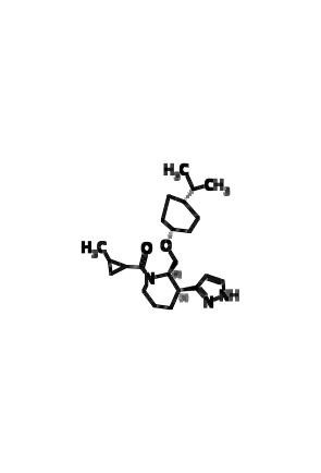 CC1CC1C(=O)N1CCC[C@H](c2cc[nH]n2)[C@@H]1CO[C@H]1CC[C@@H](C(C)C)CC1